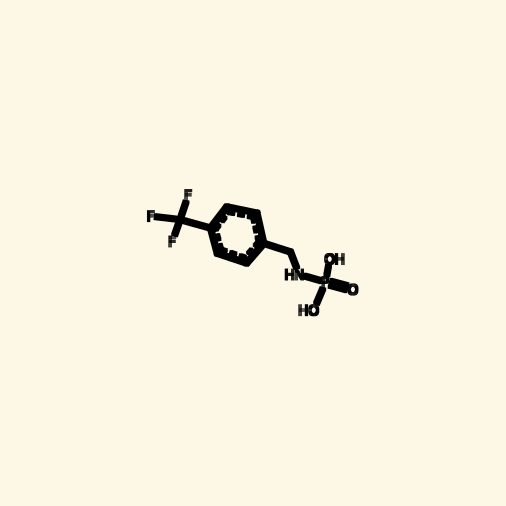 O=P(O)(O)NCc1ccc(C(F)(F)F)cc1